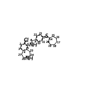 Clc1ccc2c(c1NCc1ccc(SC3CCCCCC3)cc1)CCNCC2